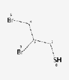 SCC(Br)CBr